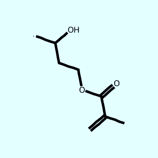 [CH2]C(O)CCOC(=O)C(=C)C